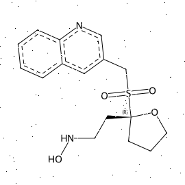 O=S(=O)(Cc1cnc2ccccc2c1)[C@@]1(CCNO)CCCO1